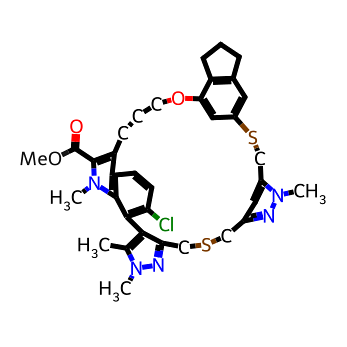 COC(=O)c1c2c3ccc(Cl)c(c3n1C)-c1c(nn(C)c1C)CSCc1cc(n(C)n1)CSc1cc3c(c(c1)OCCC2)CCC3